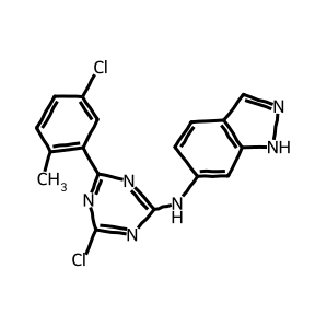 Cc1ccc(Cl)cc1-c1nc(Cl)nc(Nc2ccc3cn[nH]c3c2)n1